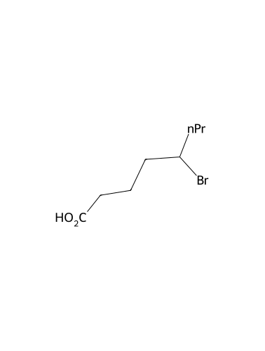 CCCC(Br)CCCC(=O)O